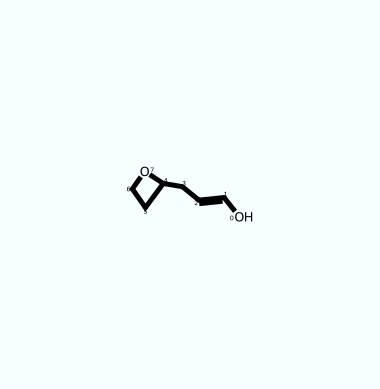 OC=CCC1CCO1